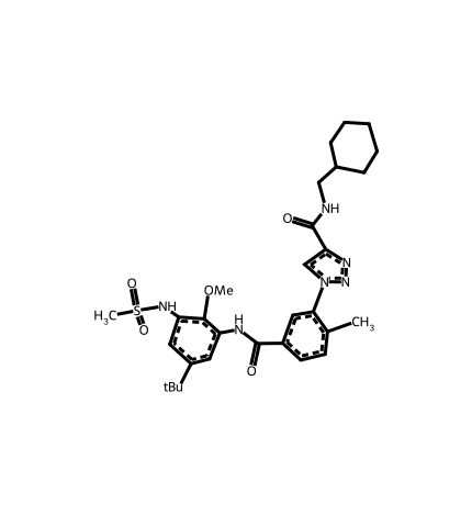 COc1c(NC(=O)c2ccc(C)c(-n3cc(C(=O)NCC4CCCCC4)nn3)c2)cc(C(C)(C)C)cc1NS(C)(=O)=O